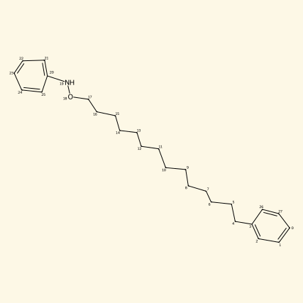 c1ccc(CCCCCCCCCCCCCCONc2ccccc2)cc1